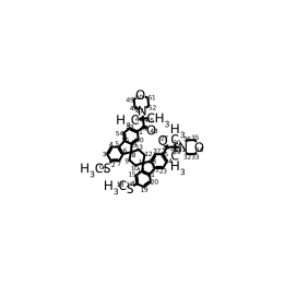 CSc1ccc2c(c1)C1(CCC3(CC1)c1cc(SC)ccc1-c1ccc(C(=O)C(C)(C)N4CCOCC4)cc13)c1cc(C(=O)C(C)(C)N3CCOCC3)ccc1-2